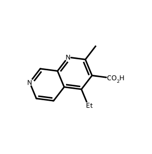 CCc1c(C(=O)O)c(C)nc2cnccc12